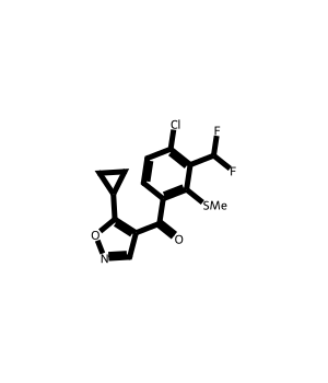 CSc1c(C(=O)c2cnoc2C2CC2)ccc(Cl)c1C(F)F